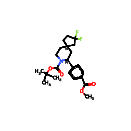 COC(=O)c1ccc([C@@H]2C[C@@]3(CCN2C(=O)OC(C)(C)C)CCC(F)(F)C3)cc1